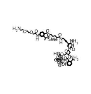 CSSC(C)c1cc(NC(=O)COCCOCCN)ccc1C(=O)OCCCCC(=O)NCC#Cc1cn([C@H]2C[C@@H](OC(=O)c3ccccc3C(C)N)C(COP(=O)(O)OP(=O)(O)OP(=O)(O)O)O2)c(=O)nc1N